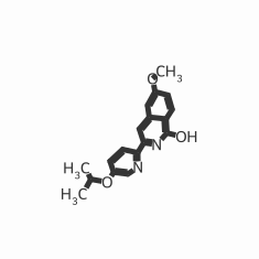 COc1ccc2c(O)nc(-c3ccc(OC(C)C)cn3)cc2c1